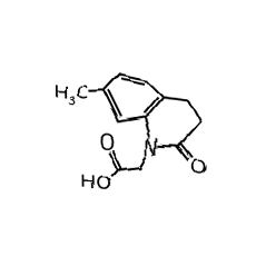 Cc1ccc2c(c1)N(CC(=O)O)C(=O)CC2